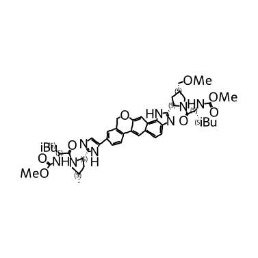 CC[C@H](C)[C@H](NC(=O)OC)C(=O)N1C[C@@H](C)C[C@H]1c1ncc(-c2ccc3c(c2)COc2cc4c(ccc5nc([C@@H]6C[C@H](COC)CN6C(=O)[C@@H](NC(=O)OC)[C@@H](C)CC)[nH]c54)cc2-3)[nH]1